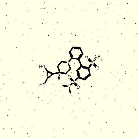 CN(C)S(=O)(=O)c1ccc(S(N)(=O)=O)c(-c2ccccc2N2CCC(C)(C3C(O)C3O)CC2)c1